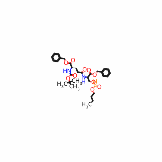 CCCCO[PH](=O)OCC(NC(=O)CC[C@H](NC(=O)OC(C)(C)C)C(=O)OCc1ccccc1)C(=O)OCc1ccccc1